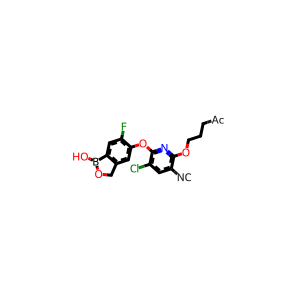 [C-]#[N+]c1cc(Cl)c(Oc2cc3c(cc2F)B(O)OC3)nc1OCCCC(C)=O